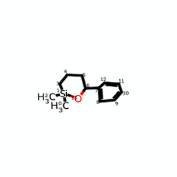 C[Si]1(C)CCCC(c2ccccc2)O1